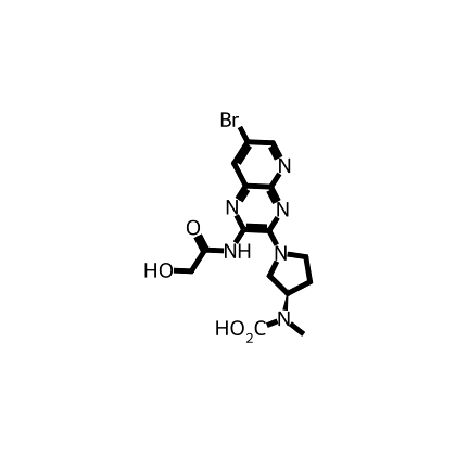 CN(C(=O)O)[C@@H]1CCN(c2nc3ncc(Br)cc3nc2NC(=O)CO)C1